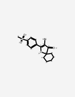 CS(=O)(=O)c1ccc(C2=C(Br)C(=O)C3(CCCCC3)O2)cc1